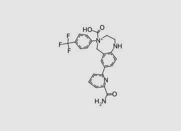 NC(=O)c1cccc(-c2ccc3c(c2)C[N+](C(=O)O)(c2ccc(C(F)(F)F)cc2)CCN3)n1